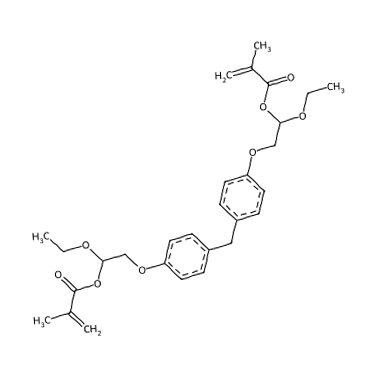 C=C(C)C(=O)OC(COc1ccc(Cc2ccc(OCC(OCC)OC(=O)C(=C)C)cc2)cc1)OCC